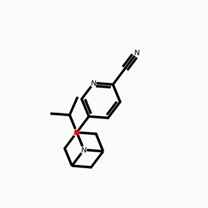 CC(C)N1CC2CC(C1)N2Cc1ccc(C#N)nc1